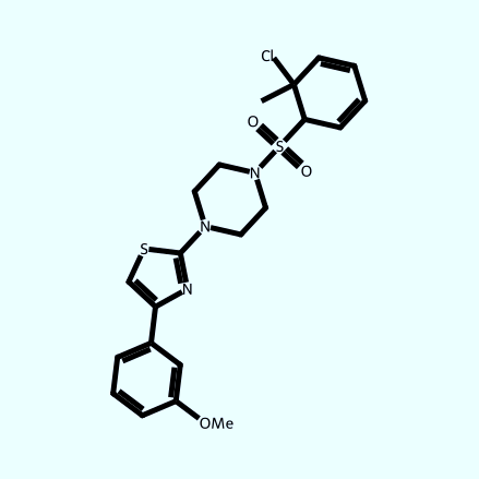 COc1cccc(-c2csc(N3CCN(S(=O)(=O)C4C=CC=CC4(C)Cl)CC3)n2)c1